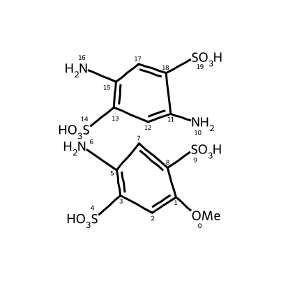 COc1cc(S(=O)(=O)O)c(N)cc1S(=O)(=O)O.Nc1cc(S(=O)(=O)O)c(N)cc1S(=O)(=O)O